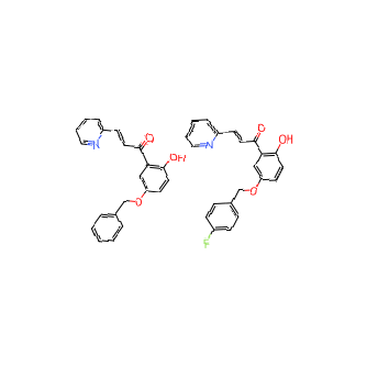 O=C(C=Cc1ccccn1)c1cc(OCc2ccc(F)cc2)ccc1O.O=C(C=Cc1ccccn1)c1cc(OCc2ccccc2)ccc1O